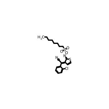 CCCCCCCCS(=O)(=O)O/N=C1\SC=C\C1=C(\C#N)c1ccccc1Cl